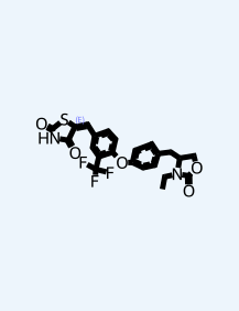 CCN1C(=O)OCC1Cc1ccc(Oc2ccc(/C=C3/SC(=O)NC3=O)cc2C(F)(F)F)cc1